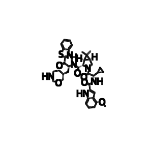 COc1cccc2[nH]c(C(=O)N[C@H](C(=O)N3C[C@H]4[C@@H]([C@H]3C(=O)N[C@@H](C[C@@H]3CCNCOC3)C(=O)c3nc5ccccc5s3)C4(C)C)C3CC3)cc12